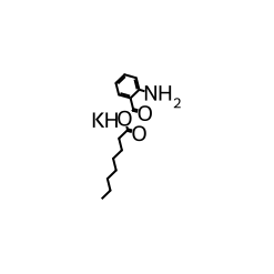 CCCCCCCC(=O)OC(=O)c1ccccc1N.[KH]